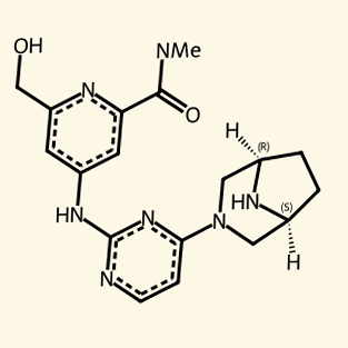 CNC(=O)c1cc(Nc2nccc(N3C[C@H]4CC[C@@H](C3)N4)n2)cc(CO)n1